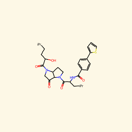 CC(C)CCC(O)C(=O)N1CC(=O)C2C1CCN2C(=O)C(CC(C)C)NC(=O)c1ccc(-c2cccs2)cc1